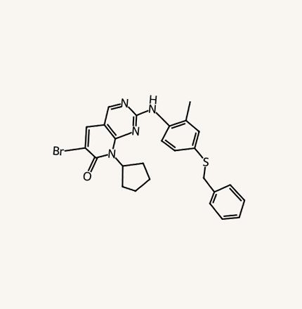 Cc1cc(SCc2ccccc2)ccc1Nc1ncc2cc(Br)c(=O)n(C3CCCC3)c2n1